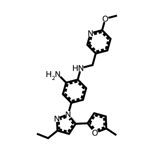 CCc1cc(-c2ccc(C)o2)n(-c2ccc(NCc3ccc(OC)nc3)c(N)c2)n1